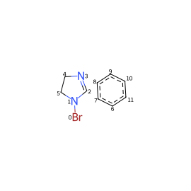 BrN1C=NCC1.c1ccccc1